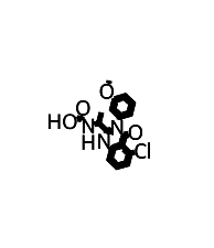 COc1cccc(-n2c(C(C)NC(=O)O)nc3cccc(Cl)c3c2=O)c1